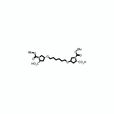 CC(C)(C)OC(=O)N1CC(OCCCCCCO[C@@H]2C[C@@H](C(=O)O)N(C(=O)OC(C)(C)C)C2)C[C@H]1C(=O)O